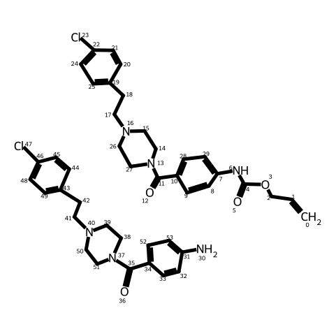 C=CCOC(=O)Nc1ccc(C(=O)N2CCN(CCc3ccc(Cl)cc3)CC2)cc1.Nc1ccc(C(=O)N2CCN(CCc3ccc(Cl)cc3)CC2)cc1